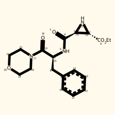 CCOC(=O)[C@H]1N[C@@H]1C(=O)N[C@@H](Cc1ccccc1)C(=O)N1CCOCC1